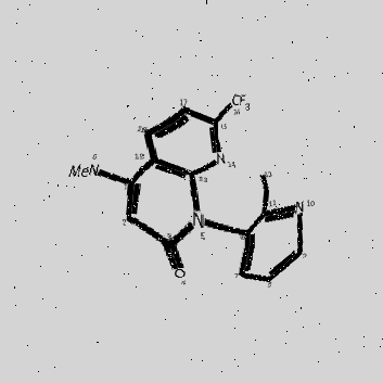 CNc1cc(=O)n(-c2cccnc2C)c2nc(C(F)(F)F)ccc12